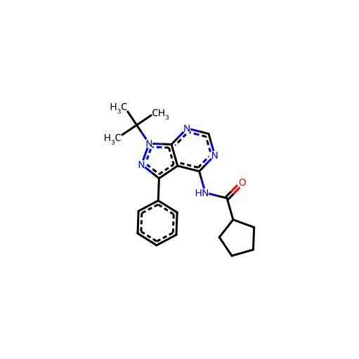 CC(C)(C)n1nc(-c2ccccc2)c2c(NC(=O)C3CCCC3)ncnc21